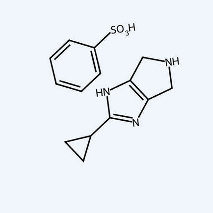 C1NCc2[nH]c(C3CC3)nc21.O=S(=O)(O)c1ccccc1